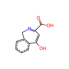 O=C(O)C1=NCc2ccccc2C(O)=C1